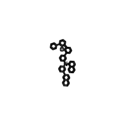 c1ccc(-c2cccc3c2oc2c(-c4cccc(N(c5cccc(-c6ccc7ccccc7c6)c5)c5cccc6ccccc56)c4)cccc23)cc1